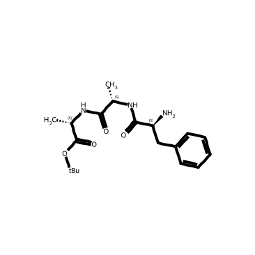 C[C@H](NC(=O)[C@@H](N)Cc1ccccc1)C(=O)N[C@@H](C)C(=O)OC(C)(C)C